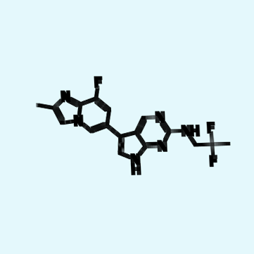 Cc1cn2cc(-c3c[nH]c4nc(NCC(C)(F)F)ncc34)cc(F)c2n1